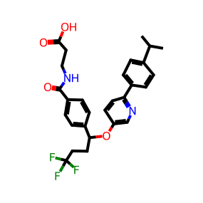 CC(C)c1ccc(-c2ccc(OC(CCC(F)(F)F)c3ccc(C(=O)NCCC(=O)O)cc3)cn2)cc1